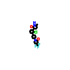 C=C1CCC(c2cccc(-c3ccc(-n4ccc(C(F)(F)F)cc4=O)cc3)c2Cl)C(=O)N1